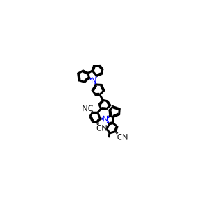 CC1Cc2c(c3ccccc3n2-c2c(C#N)ccc(C#N)c2-c2cccc(-c3ccc(-n4c5ccccc5c5ccccc54)cc3)c2)C=C1C#N